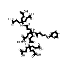 O=C(O)CCC(CCC(=O)O)(CCC(=O)O)NC(=O)CCC(CCC(=O)NO)(CCC(=O)NC(CCC(=O)O)(CCC(=O)O)CCC(=O)O)NC(=O)CCSSc1ccccn1